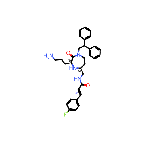 NCCC[C@@H]1N[C@H](CNC(=O)/C=C/c2ccc(F)cc2)CCN(CC(c2ccccc2)c2ccccc2)C1=O